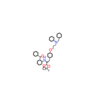 COC(=O)[C@H](Cc1ccc(OCCCN(Cc2ccccc2)c2ccccc2)cc1)Nc1ccccc1C(=O)c1ccccc1